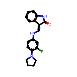 O=C1Nc2ccccc2/C1=C\Nc1ccc(N2CCCC2)c(F)c1